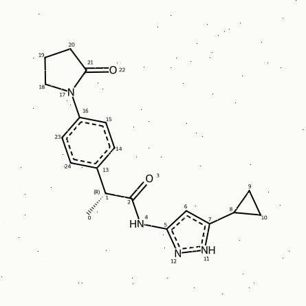 C[C@@H](C(=O)Nc1cc(C2CC2)[nH]n1)c1ccc(N2CCCC2=O)cc1